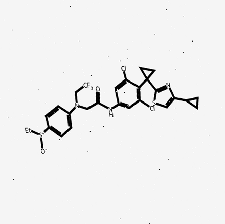 CC[S+]([O-])c1ccc(N(CC(=O)Nc2cc(Cl)c(C3(c4nc(C5CC5)cs4)CC3)c(Cl)c2)CC(F)(F)F)cc1